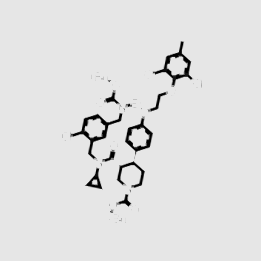 CCN(Cc1ccc(Cl)c(CN(C(=O)[C@H]2CN(C(=O)OC(C)(C)C)CC[C@@H]2c2ccc(OCCOc3c(Cl)cc(C)cc3Cl)cc2)C2CC2)c1)C(=O)OC(C)(C)C